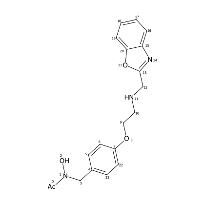 CC(=O)N(O)Cc1ccc(OCCNCc2nc3ccccc3o2)cc1